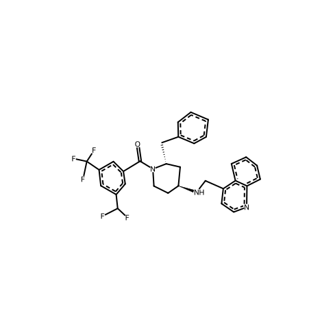 O=C(c1cc(C(F)F)cc(C(F)(F)F)c1)N1CC[C@H](NCc2ccnc3ccccc23)C[C@H]1Cc1ccccc1